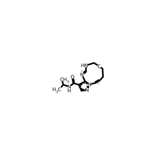 CC(C)NC(=O)c1cnn2c1/N=C/NCCCC/C=C\2